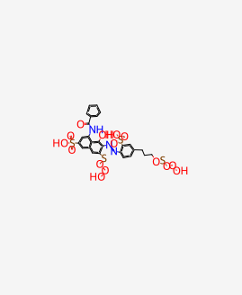 O=C(Nc1cc(S(=O)(=O)O)cc2cc(SOOO)c(/N=N/c3ccc(CCCOSOOO)cc3S(=O)(=O)O)c(O)c12)c1ccccc1